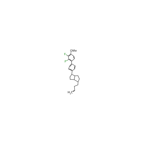 C=CCCC1CCC2C(c3ccc(-c4ccc(OC)c(F)c4F)cc3)CCC12